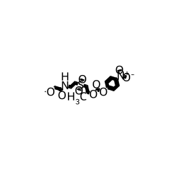 CC(CS(=O)(=O)CCNC(=O)C[O])OC(=O)Oc1ccc([N+](=O)[O-])cc1